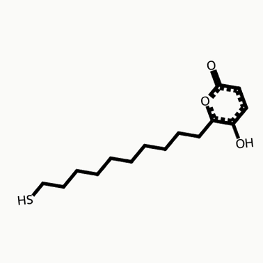 O=c1ccc(O)c(CCCCCCCCCCS)o1